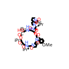 CC[C@H](C)[C@H]1NC(=O)[C@@H](NC(=O)[C@@H](CC(C)C)N2CCC3(CCCN3C(=O)C(C)=O)C2=O)[C@@H](C)OC(=O)[C@H](Cc2ccc(OC)cc2)N(C)C(=O)[C@@H]2CCCN2C(=O)[C@H](CC(C)C)NC(=O)[C@@H](C)C(=O)[C@H](C(C)C)OC(=O)C[C@@H]1O